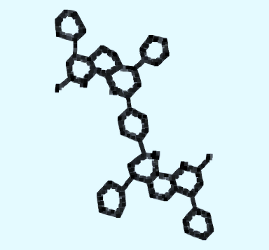 Fc1cc(-c2ccccc2)c2ccc3c(-c4ccccc4)cc(-c4ccc(-c5cc(-c6ccccc6)c6ccc7c(-c8ccccc8)cc(F)nc7c6n5)cc4)nc3c2n1